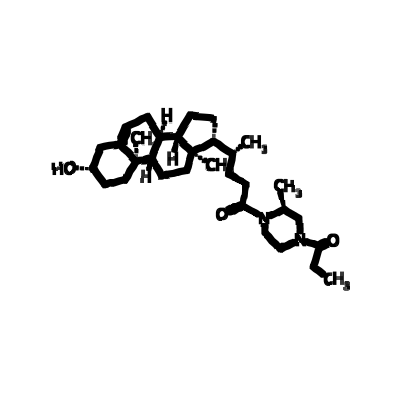 CCC(=O)N1CCN(C(=O)CC[C@@H](C)[C@H]2CC[C@H]3[C@@H]4CC=C5C[C@@H](O)CC[C@]5(C)[C@H]4CC[C@]23C)[C@@H](C)C1